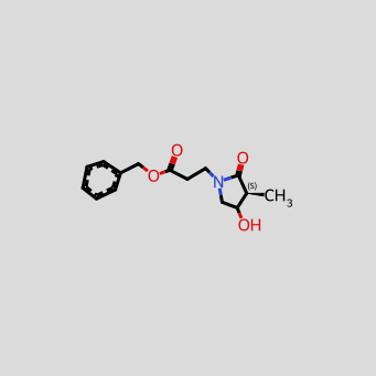 C[C@@H]1C(=O)N(CCC(=O)OCc2ccccc2)CC1O